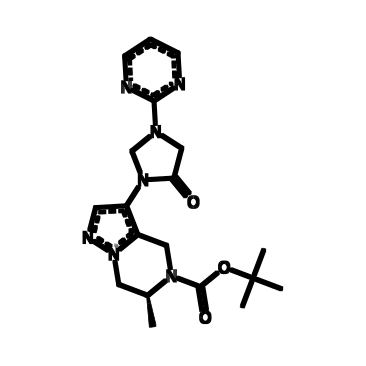 C[C@H]1Cn2ncc(N3CN(c4ncccn4)CC3=O)c2CN1C(=O)OC(C)(C)C